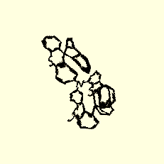 c1ccc2c(c1)Sc1ccc(N(c3ccc4sc5cccc(C67CC8CC(CC(C8)C6)C7)c5c4c3)c3cccc4c3sc3ccccc34)cc1C21c2ccccc2-c2ccccc21